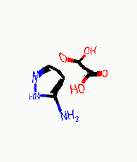 Nc1ccn[nH]1.O=C(O)C(=O)O